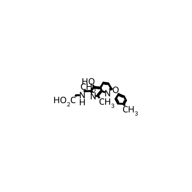 C=C(NCC(=O)O)c1nc(C)c2nc(Oc3ccc(C)cc3)ccc2c1O